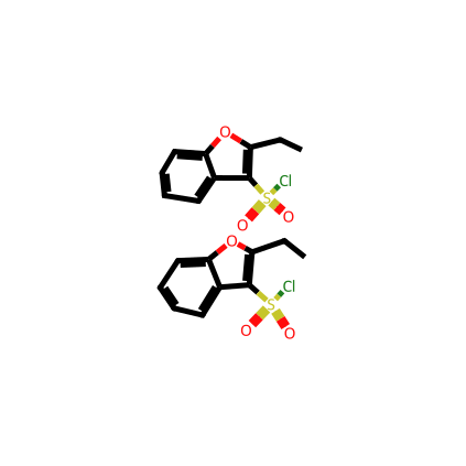 CCc1oc2ccccc2c1S(=O)(=O)Cl.CCc1oc2ccccc2c1S(=O)(=O)Cl